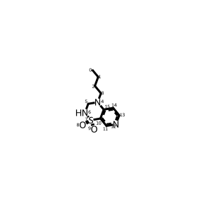 CCCCN1CNS(=O)(=O)c2cnccc21